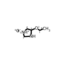 CCOC1C[NH+]([O-])CN1